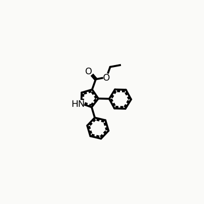 CCOC(=O)c1c[nH]c(-c2ccccc2)c1-c1ccccc1